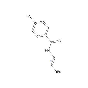 CC(C)(C)/C=N/NC(=O)c1ccc(Br)cc1